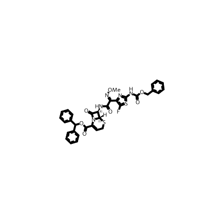 CON=C(C(=O)N[C@@H]1C(=O)N2C(C(=O)OC(c3ccccc3)c3ccccc3)=CCS[C@@H]12)c1nc(NC(=O)OCc2ccccc2)sc1F